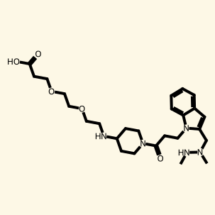 CNN(C)Cc1cc2ccccc2n1CCC(=O)N1CCC(NCCOCCOCCC(=O)O)CC1